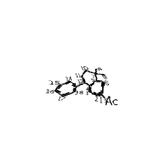 CC(=O)c1ccc2c(c1)C(C)(C)CC=C2c1ccccc1